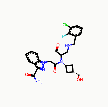 NC(=O)c1nn(CC(=O)N(C(C=O)CNCc2cccc(Cl)c2F)[C@H]2C[C@@H](CO)C2)c2ccccc12